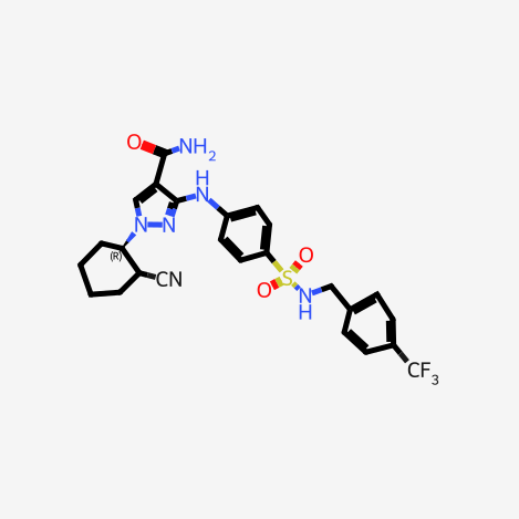 N#CC1CCCC[C@H]1n1cc(C(N)=O)c(Nc2ccc(S(=O)(=O)NCc3ccc(C(F)(F)F)cc3)cc2)n1